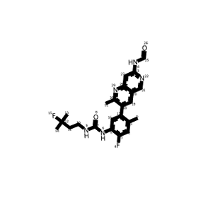 Cc1cc(F)c(NC(=O)NCCC(C)(C)F)cc1-c1cc2cnc(NC=O)cc2nc1C